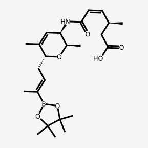 CC1=C[C@@H](NC(=O)/C=C\[C@@H](C)CC(=O)O)[C@@H](C)O[C@@H]1C/C=C(\C)B1OC(C)(C)C(C)(C)O1